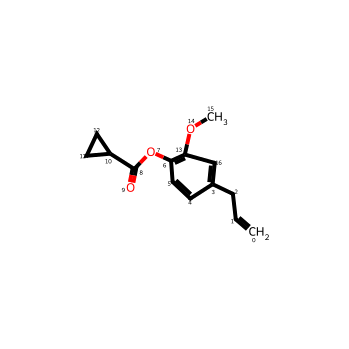 C=CCc1ccc(OC(=O)C2CC2)c(OC)c1